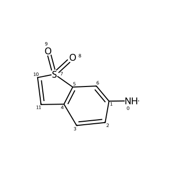 [NH]c1ccc2c(c1)S(=O)(=O)C=C2